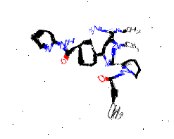 C=C/N=C(/N)c1c(-c2ccc(C(=O)Nc3ccccn3)cc2)nc([C@@H]2CCCN2C(=O)C#CC)n1C